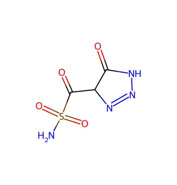 NS(=O)(=O)C(=O)C1N=NNC1=O